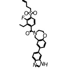 C=CCCS(=O)(=O)c1ccc(C(=O)N2CCOc3ccc(-c4ccc5nc[nH]c5c4)cc3C2)c(CC)c1F